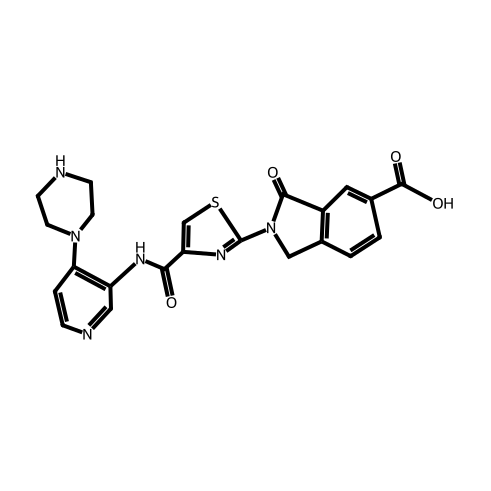 O=C(O)c1ccc2c(c1)C(=O)N(c1nc(C(=O)Nc3cnccc3N3CCNCC3)cs1)C2